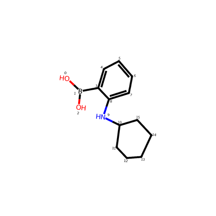 OB(O)c1ccccc1NC1CCCCC1